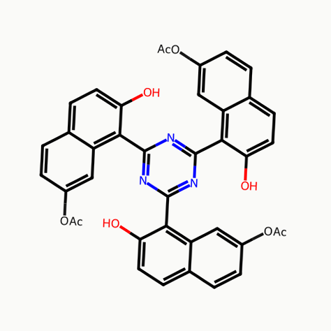 CC(=O)Oc1ccc2ccc(O)c(-c3nc(-c4c(O)ccc5ccc(OC(C)=O)cc45)nc(-c4c(O)ccc5ccc(OC(C)=O)cc45)n3)c2c1